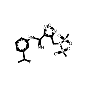 CC(F)c1cccc(NC(=N)c2nonc2CN(S(C)(=O)=O)S(C)(=O)=O)c1